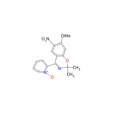 COc1cc2c(cc1[N+](=O)[O-])C(c1cccc[n+]1[O-])=NC(C)(C)O2